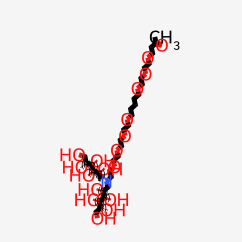 CC(=O)CCOCCOCCOCCCCCOCCOCCOCCOCCN(C[C@H](O)[C@@H](O)[C@H](O)[C@H](O)CO)C[C@H](O)[C@@H](O)[C@H](O)[C@H](O)CO